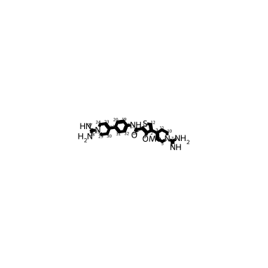 COc1c(C2=CCN(C(=N)N)CC2)csc1C(=O)Nc1ccc(C2=CCN(C(=N)N)CC2)cc1